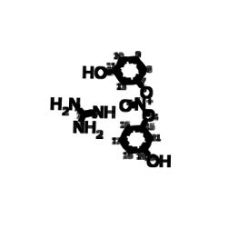 N=C(N)N.O=[N+](Oc1cccc(O)c1)Oc1cccc(O)c1